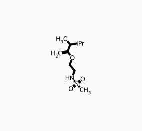 C=C(OCCNS(C)(=O)=O)C(C)C(C)C